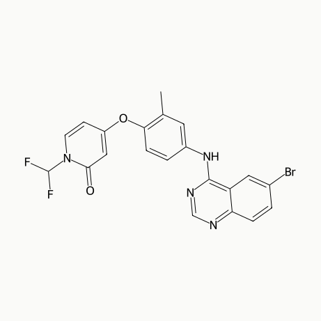 Cc1cc(Nc2ncnc3ccc(Br)cc23)ccc1Oc1ccn(C(F)F)c(=O)c1